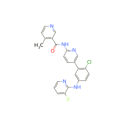 Cc1ccncc1C(=O)Nc1ccc(-c2cc(Nc3ncccc3F)ccc2Cl)cn1